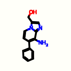 Nc1c(-c2ccccc2)ccn2c(CO)cnc12